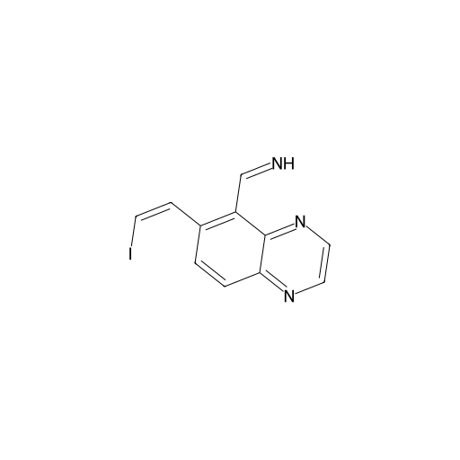 N=Cc1c(/C=C\I)ccc2nccnc12